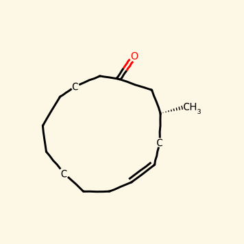 C[C@@H]1C/C=C\CCCCCCCCC(=O)C1